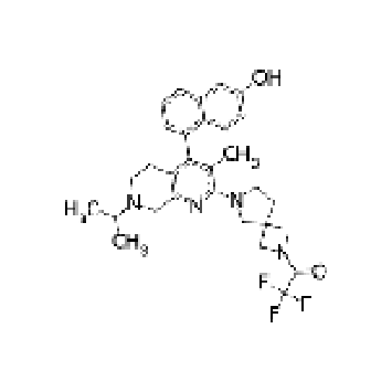 Cc1c(N2CCC3(CN(C(=O)C(F)(F)F)C3)C2)nc2c(c1-c1cccc3cc(O)ccc13)CCN(C(C)C)C2